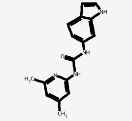 Cc1cc(C)nc(NC(=O)Nc2ccc3cc[nH]c3c2)c1